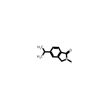 CC(C)c1ccc2c(c1)CN(I)C2=O